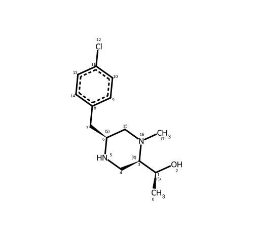 C[C@H](O)[C@H]1CN[C@@H](Cc2ccc(Cl)cc2)CN1C